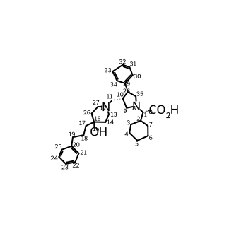 O=C(O)[C@H](C1CCCCC1)N1C[C@H](CN2CCC(O)(CCCc3ccccc3)CC2)[C@@H](c2ccccc2)C1